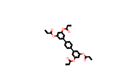 C=CC(=O)Oc1cc(OC(=O)C=C)cc(-c2ccc(-c3cc(OC(=O)C=C)cc(OC(=O)C=C)c3)cc2)c1